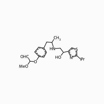 COC(C=O)Oc1ccc(CC(C)NCC(O)c2csc(C(C)C)n2)cc1